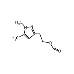 Cc1cc(CCOC=O)nn1C